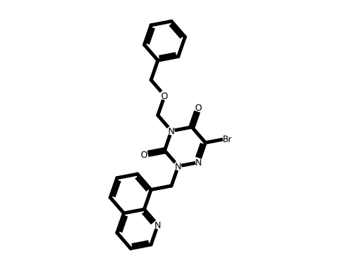 O=c1c(Br)nn(Cc2cccc3cccnc23)c(=O)n1COCc1ccccc1